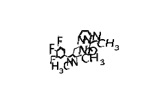 Cc1nc2cccnn2c1C(=O)N1CCc2c(nn(C)c2-c2cc(F)c(F)c(F)c2)[C@@H]1C